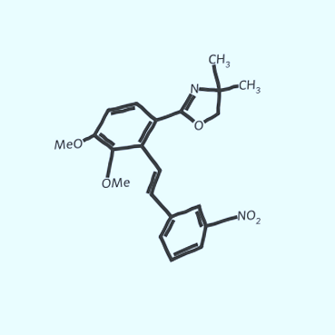 COc1ccc(C2=NC(C)(C)CO2)c(C=Cc2cccc([N+](=O)[O-])c2)c1OC